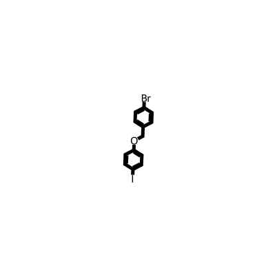 Brc1ccc(COc2ccc(I)cc2)cc1